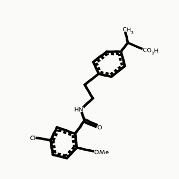 COc1ccc(Cl)cc1C(=O)NCCc1ccc(C(C)C(=O)O)cc1